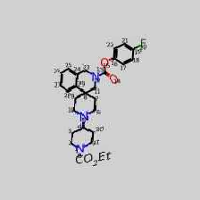 CCOC(=O)N1CCC(N2CCC3(CC2)CN(C(=O)Oc2ccc(F)cc2)Cc2ccccc23)CC1